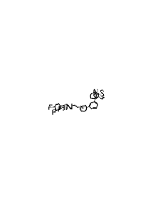 Fc1ccc(CNCCCOc2cccc(-c3onc4sccc34)c2)cc1F